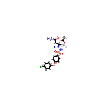 CCC(=O)OC(C)(CC(N)=O)NNS(=O)(=O)c1ccc(Oc2ccc(F)cc2)cc1